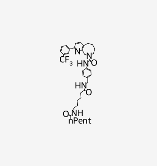 CCCCCC(=O)NCCCCCC(=O)NCc1ccc(NC(=O)N2CCCCc3ccc(-c4cccc(C(F)(F)F)c4)nc3C2)cc1